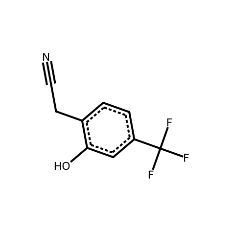 N#CCc1ccc(C(F)(F)F)cc1O